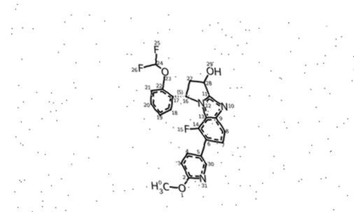 COc1ccc(-c2ccc3nc4n(c3c2F)[C@H](c2ccccc2OC(F)F)CC4O)cn1